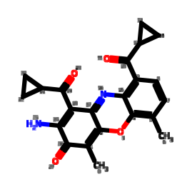 Cc1c2oc3c(C)ccc(C(=O)C4CC4)c3nc-2c(C(=O)C2CC2)c(N)c1=O